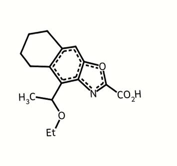 CCOC(C)c1c2c(cc3oc(C(=O)O)nc13)CCCC2